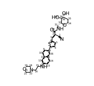 N#C/C(=C\c1ccc(-c2ccc3cc(NCCN4CCOCC4)ccc3c2)s1)C(=O)NC[C@H]1OCC[C@@H](O)[C@@H]1O